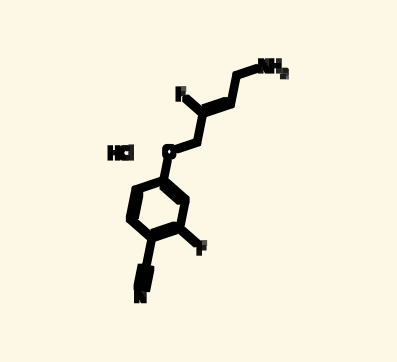 Cl.N#Cc1ccc(OCC(F)=CCN)cc1F